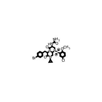 COc1ccc(Cl)cc1S(=O)(=O)N1CC(NC(N)=O)C(=O)N2C(Cc3ccc(Br)cc3)C(=O)N(C3CC3)CC21